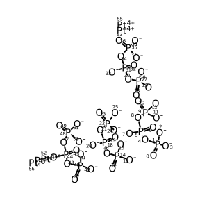 O=P([O-])([O-])OP(=O)([O-])OP(=O)([O-])[O-].O=P([O-])([O-])OP(=O)([O-])OP(=O)([O-])[O-].O=P([O-])([O-])OP(=O)([O-])OP(=O)([O-])[O-].O=P([O-])([O-])OP(=O)([O-])OP(=O)([O-])[O-].[Pt+4].[Pt+4].[Pt+4].[Pt+4].[Pt+4]